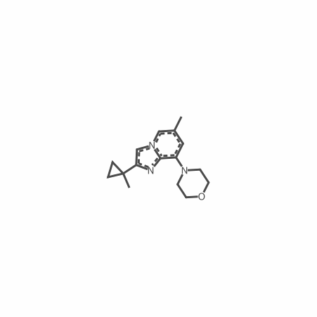 Cc1cc(N2CCOCC2)c2nc(C3(C)CC3)cn2c1